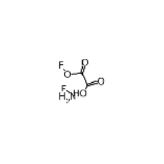 NF.O=C(O)C(=O)OF